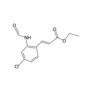 CCOC(=O)C=Cc1ccc(Cl)cc1NC=O